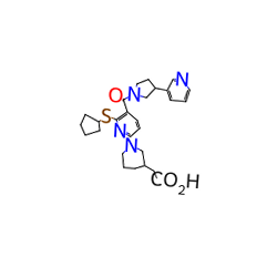 O=C(O)CC1CCCN(c2ccc(C(=O)N3CCC(c4cccnc4)C3)c(SC3CCCC3)n2)C1